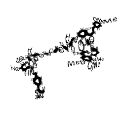 CC[C@H](C(=O)N1CCCC[C@H]1C(=O)OC(CCc1ccc(OC)c(OC)c1)c1cccc(OCC(=O)NCCOCCOCCOCC(=O)N[C@H](C(=O)N2C[C@H](O)C[C@H]2C(=O)NCc2ccc(-c3scnc3C)cc2)C(C)(C)C)c1)c1cc(OC)c(OC)c(OC)c1